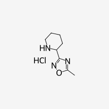 Cc1nc(C2CCCCN2)no1.Cl